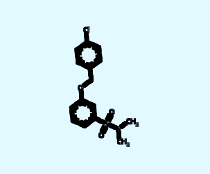 CN(C)S(=O)(=O)c1cccc(OCc2ccc(Cl)cc2)c1